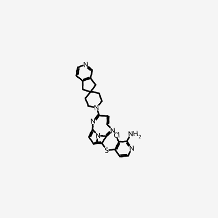 CN1C2=CC=C(Sc3ccnc(N)c3Cl)/C1=N/C=C/C(N1CCC3(CC1)Cc1ccncc1C3)=N\2